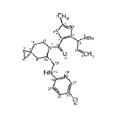 C=CC(CCCC)c1nc(C)sc1C(=O)N1CCC2(CC2)CC1CNc1ccc(Cl)cn1